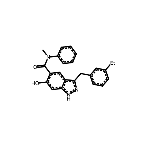 CCc1cccc(Cc2n[nH]c3cc(O)c(C(=O)N(C)c4ccccc4)cc23)c1